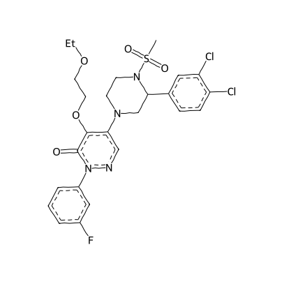 CCOCCOc1c(N2CCN(S(C)(=O)=O)C(c3ccc(Cl)c(Cl)c3)C2)cnn(-c2cccc(F)c2)c1=O